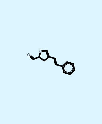 O=CC1CC(C=Cc2ccccc2)=CO1